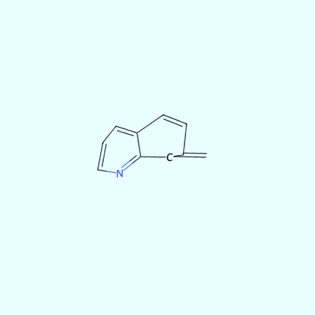 C=C1C=Cc2cccnc2C1